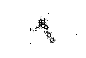 CCCC[C@@H]1Cc2cc(OC(=O)N3CCC(N4CCOCC4)CC3)ccc2[C@H]2CC[C@]3(C)C(=O)CC[C@H]3[C@H]12